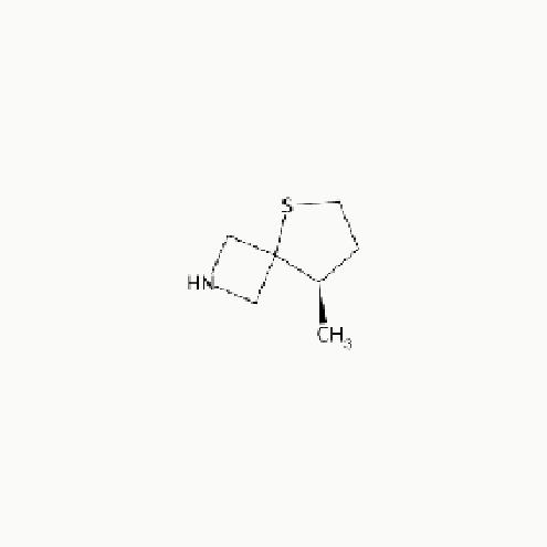 C[C@@H]1CCSC12CNC2